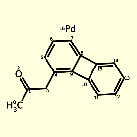 CC(=O)Cc1cccc2c1-c1ccccc1-2.[Pd]